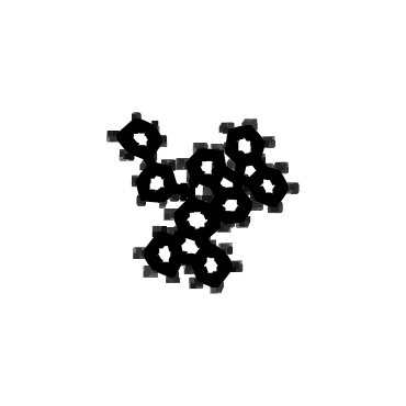 c1ccc(-c2cccc(N(c3ccc4c5ccccc5c5ccccc5c4c3)c3cccc4c3-c3ccccc3C43c4ccccc4-c4ccccc43)c2)cc1